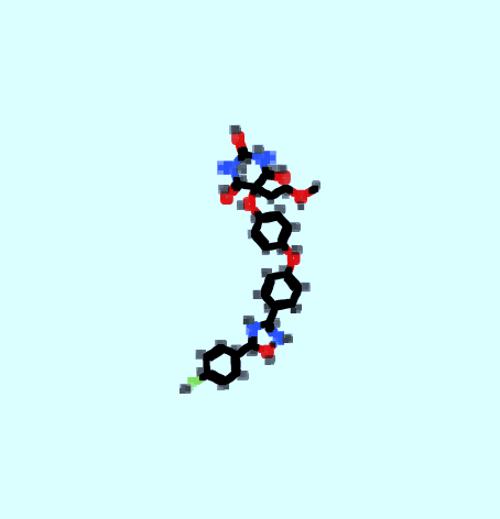 COCCC1(Oc2ccc(Oc3ccc(-c4noc(-c5ccc(F)cc5)n4)cc3)cc2)C(=O)NC(=O)NC1=O